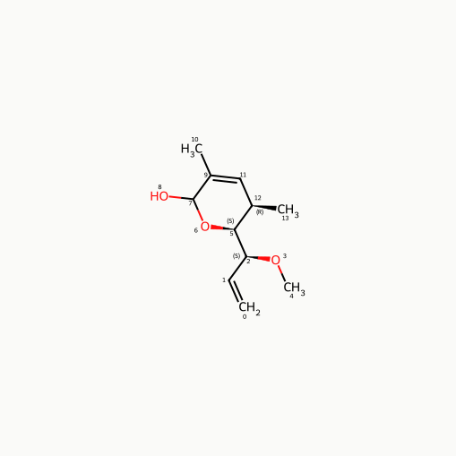 C=C[C@H](OC)[C@H]1OC(O)C(C)=C[C@H]1C